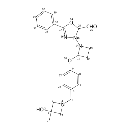 CC1(O)CN(Cc2ccc(OC3CCN3N3N=C(c4ccccc4)OC3C=O)cc2)C1